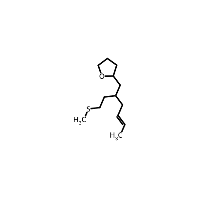 CC=CCC(CCSC)CC1CCCO1